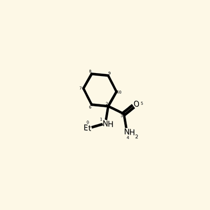 CCNC1(C(N)=O)CCCCC1